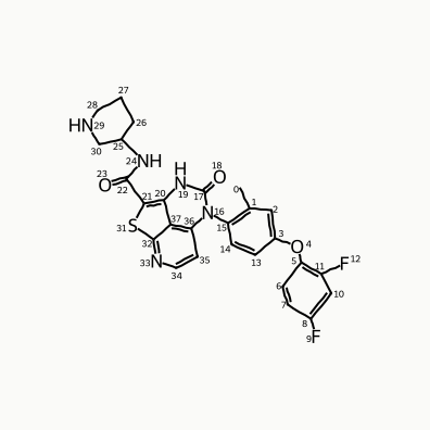 Cc1cc(Oc2ccc(F)cc2F)ccc1N1C(=O)Nc2c(C(=O)NC3CCCNC3)sc3nccc1c23